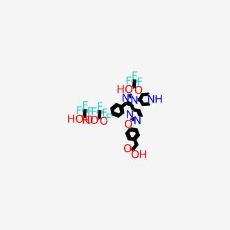 O=C(O)C(F)(F)F.O=C(O)C(F)(F)F.O=C(O)C(F)(F)F.O=C(O)Cc1ccc(Oc2nccc(-c3c(-c4ccc(F)cc4)ncn3C3CCNCC3)n2)cc1